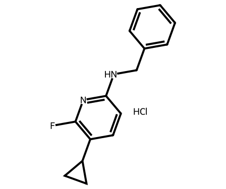 Cl.Fc1nc(NCc2ccccc2)ccc1C1CC1